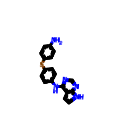 Nc1ccc(Sc2ccc(Nc3ncnc4[nH]ccc34)cc2)cc1